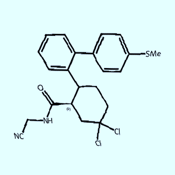 CSc1ccc(-c2ccccc2C2CCC(Cl)(Cl)C[C@H]2C(=O)NCC#N)cc1